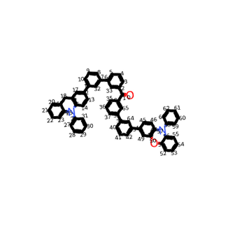 O=C(c1cccc(-c2cccc(-c3ccc4c(c3)Cc3ccccc3N4c3ccccc3)c2)c1)c1cccc(-c2cccc(-c3ccc4c(c3)Oc3ccccc3N4c3ccccc3)c2)c1